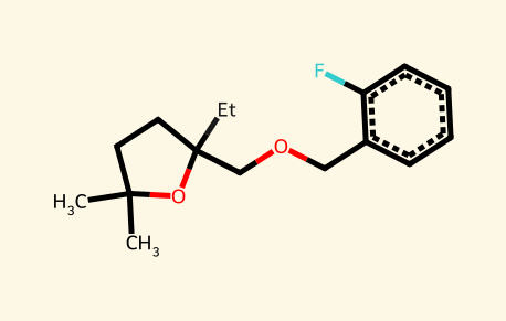 CCC1(COCc2ccccc2F)CCC(C)(C)O1